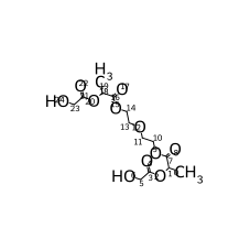 CC(OC(=O)CO)C(=O)OCCOCCOC(=O)C(C)OC(=O)CO